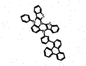 c1ccc(N2c3cccc4c3B(c3sc5ccccc5c32)c2sc3ccccc3c2N4c2cccc(-c3cccc4c5ccccc5c5ccccc5c34)c2)cc1